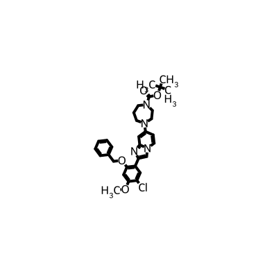 COc1cc(OCc2ccccc2)c(-c2cn3ccc(N4CCCN(C(=O)OC(C)(C)C)CC4)cc3n2)cc1Cl